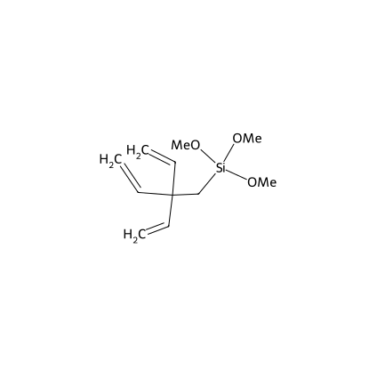 C=CC(C=C)(C=C)C[Si](OC)(OC)OC